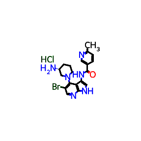 Cc1ccc(C(=O)Nc2c[nH]c3ncc(Br)c(N4CCC[C@@H](N)C4)c23)cn1.Cl